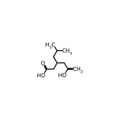 C=C(O)CC(CC(=O)O)CC(C)C